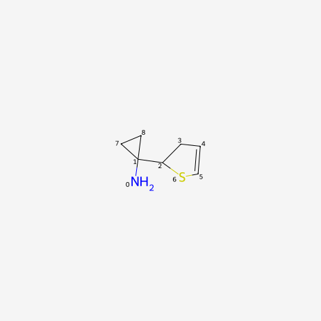 NC1(C2CC=CS2)CC1